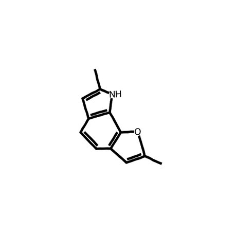 Cc1cc2ccc3cc(C)oc3c2[nH]1